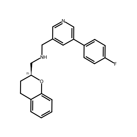 Fc1ccc(-c2cncc(CNC[C@@H]3CCc4ccccc4O3)c2)cc1